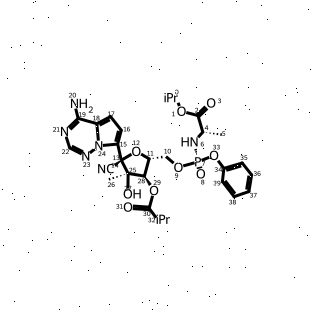 CC(C)OC(=O)[C@H](C)N[P@](=O)(OC[C@H]1O[C@@](C#N)(c2ccc3c(N)ncnn23)[C@](C)(O)[C@@H]1OC(=O)C(C)C)Oc1ccccc1